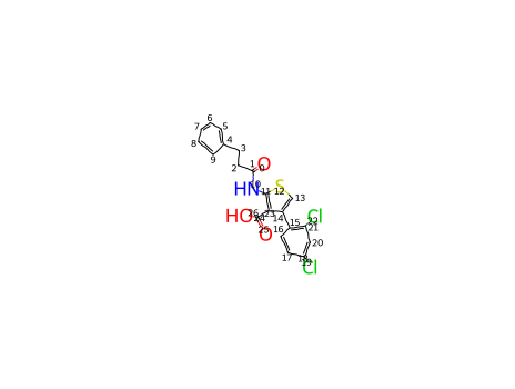 O=C(CCc1ccccc1)Nc1scc(-c2ccc(Cl)cc2Cl)c1C(=O)O